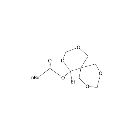 CCCCC(=O)OC1(CC)OCOCC12COCOC2